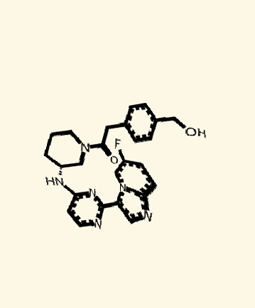 O=C(Cc1ccc(CO)cc1)N1CCC[C@@H](Nc2ccnc(-c3cnc4ccc(F)cn34)n2)C1